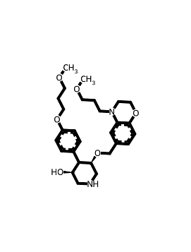 COCCCOc1ccc(C2[C@H](O)CNC[C@@H]2OCc2ccc3c(c2)N(CCCOC)CCO3)cc1